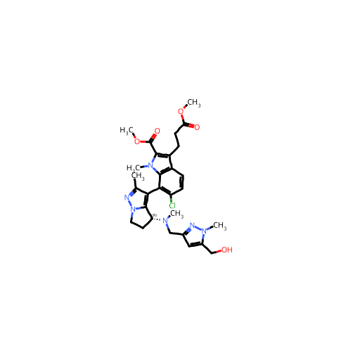 COC(=O)CCc1c(C(=O)OC)n(C)c2c(-c3c(C)nn4c3[C@H](N(C)Cc3cc(CO)n(C)n3)CC4)c(Cl)ccc12